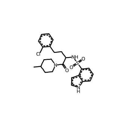 CC1CCN(C(=O)C(CCc2ccccc2Cl)NS(=O)(=O)c2cccc3[nH]ccc23)CC1